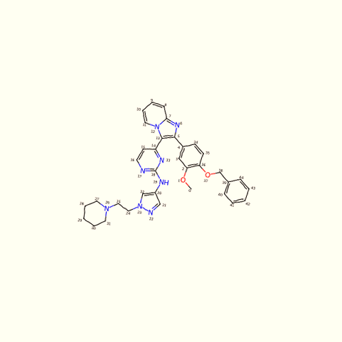 COc1cc(-c2nc3ccccn3c2-c2ccnc(Nc3cnn(CCN4CCCCC4)c3)n2)ccc1OCc1ccccc1